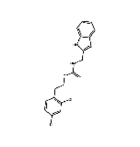 O=C(NCc1nc2ccccc2[nH]1)OCCc1ccc(Cl)cc1Cl